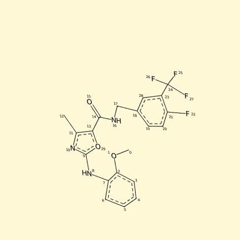 COc1ccccc1Nc1nc(C)c(C(=O)NCc2ccc(F)c(C(F)(F)F)c2)o1